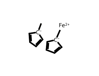 C[c-]1cccc1.C[c-]1cccc1.[Fe+2]